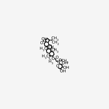 C=C(C)[C@@H]1CC[C@]2(C(=O)O)CC[C@]3(C)C(CCC4[C@@]5(C)CC[C@H](OC(=O)CN(OC)[C@H]6OC[C@H](O)[C@@H](O)[C@H]6O)C(C)(C)C5CC[C@]43C)C12